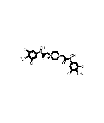 C[N+]1(CC(=O)N(O)c2cc(Cl)c(N)c(Cl)c2)CCN(CC(=O)N(O)c2cc(Cl)c(N)c(Cl)c2)CC1